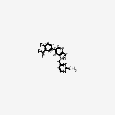 Cc1nccc(Cn2ncc3ncc(-c4ccc(F)c(C(F)F)c4)cc32)n1